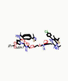 Cc1ncsc1-c1ccc([C@H](C)NC(=O)[C@@H]2C[C@@H](OC(=O)C(C)C)CN2C(=O)[C@@H](NC(=O)COCCCOCCNC(=O)C[C@@H]2N=C(c3ccc(Cl)cc3)c3c(sc(C)c3C)-n3c(C)nnc32)C(C)(C)C)cc1